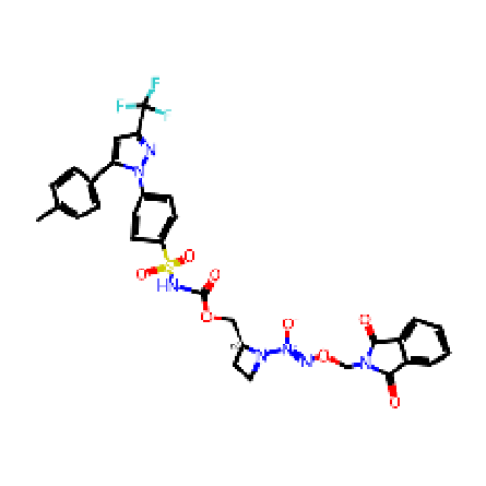 Cc1ccc(-c2cc(C(F)(F)F)nn2-c2ccc(S(=O)(=O)NC(=O)OC[C@@H]3CCN3[N+]([O-])=NOCN3C(=O)c4ccccc4C3=O)cc2)cc1